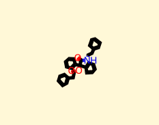 O=C(Cc1ccccc1)OC(C(=O)NCCc1ccccc1)(c1ccccc1)c1ccccc1